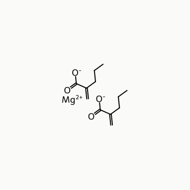 C=C(CCC)C(=O)[O-].C=C(CCC)C(=O)[O-].[Mg+2]